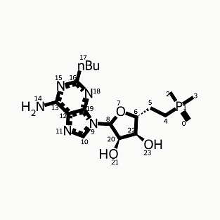 C=P(C)(C)CC[C@H]1OC(n2cnc3c(N)nc(CCCC)nc32)[C@H](O)[C@@H]1O